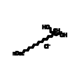 CCCCCCCCCCCCCCCCCCC=CC=C[N+](C)(CCO)CCO.[Cl-]